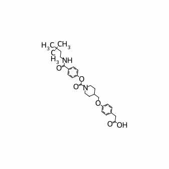 CC(C)(C)CCNC(=O)c1ccc(OC(=O)N2CCC(COc3ccc(CC(=O)O)cc3)CC2)cc1